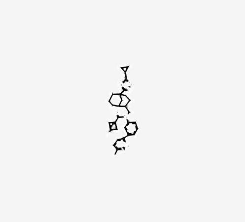 Cc1ccc(-c2cccc(N(CC3CCC4(c5nc(C6CC6)no5)CCCC3C4)C(=O)C34CC(F)(C3)C4)c2)nn1